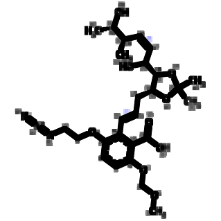 COCOc1ccc(OCCN=[N+]=[N-])c(/C=C/C[C@@H]2OC(C)(C)O[C@@H]2C(O)/C=C\[C@@H](C)[C@H](C)O)c1C(=O)O